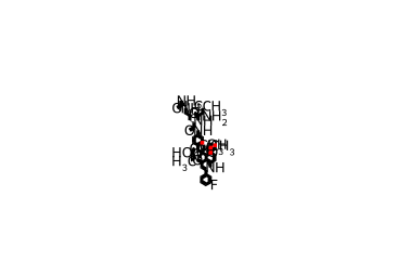 COc1ccc2[nH]c(-c3cccc(F)c3)cc(=O)c2c1C(Cc1ccc(NC(=O)[C@H](CCCNC(N)=O)NC(=O)[C@@H](N)C(C)C)cc1)(CN(C)C(=O)O)N(C)C(=O)O